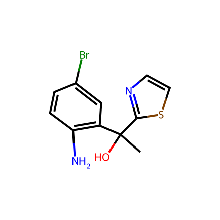 CC(O)(c1nccs1)c1cc(Br)ccc1N